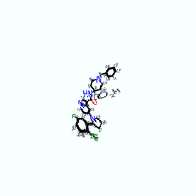 O=C(NC1(C(=O)O)CCN(Cc2ccccc2)CC1)c1cnn2ccc(N3CCCC3c3cc(F)ccc3F)cc12